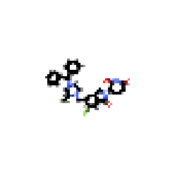 O=C1CCC(N2Cc3cc(CN4CCN(C(c5ccccc5)c5ccccc5)CC4CF)c(F)cc3C2=O)C(=O)N1